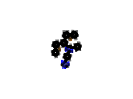 c1ccc(-c2cc(-c3cc(-c4cccc5c4sc4ccccc45)cc(-c4cccc5c4sc4ccccc45)c3)nc(-c3ccc(-c4ncncn4)cc3)n2)cc1